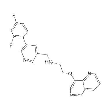 Fc1ccc(-c2cncc(CNCCOc3cccc4cccnc34)c2)c(F)c1